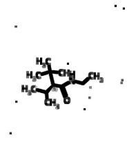 CCNC(=O)[C@@H](C(C)C)C(C)(C)C